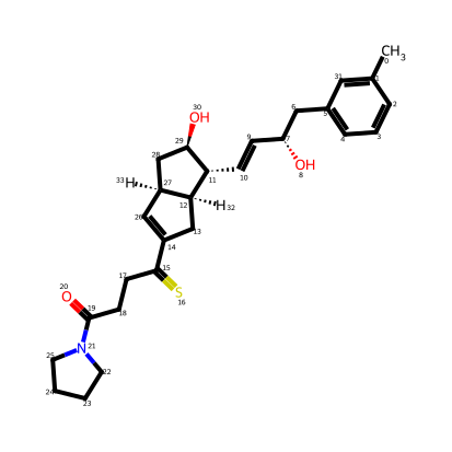 Cc1cccc(C[C@H](O)/C=C/[C@@H]2[C@H]3CC(C(=S)CCC(=O)N4CCCC4)=C[C@H]3C[C@H]2O)c1